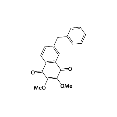 COC1=C(OC)C(=O)c2cc(Cc3ccccc3)ccc2C1=O